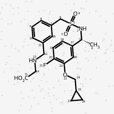 C[C@@H](NS(=O)(=O)Cc1cccc(CNCC(=O)O)c1)c1ccc(F)c(OCC2CC2)c1